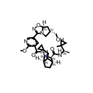 COc1ncc(C2=NO[C@H]3C[C@H](CO)CN23)cc1C(=O)N[C@H]1[C@@H](C(=O)N[C@H](C)C2(C)CC2)[C@H]2CC[C@@H]1/C2=C\C1CC1